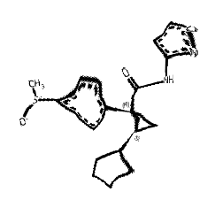 C[S+]([O-])c1ccc([C@@]2(C(=O)Nc3ccon3)C[C@H]2C2CCCC2)cc1